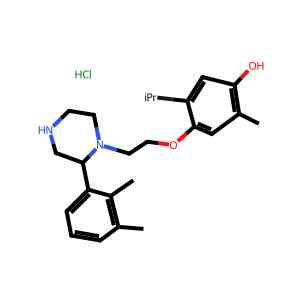 Cc1cc(OCCN2CCNCC2c2cccc(C)c2C)c(C(C)C)cc1O.Cl